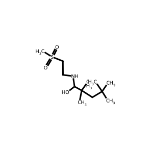 CC(C)(C)CC(C)(C)C(O)NCCS(C)(=O)=O